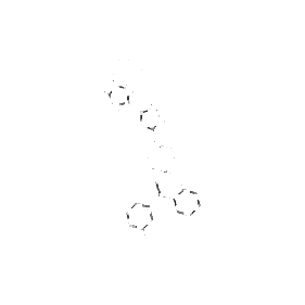 O=C(O)Cn1nnc(-c2nnc(N3CCC4(C=C(c5cccc(Cl)c5)c5ccccc5O4)CC3)s2)n1